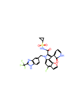 O=C(NS(=O)(=O)C1CC1)c1c(-c2ccc[nH]c2=O)c2c3occc3c(F)cc2n1Cc1ccc2[nH]c(C(F)(F)F)nc2c1